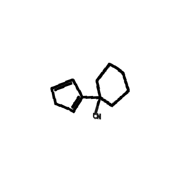 N#CC1(C2=CCC=C2)CCCCC1